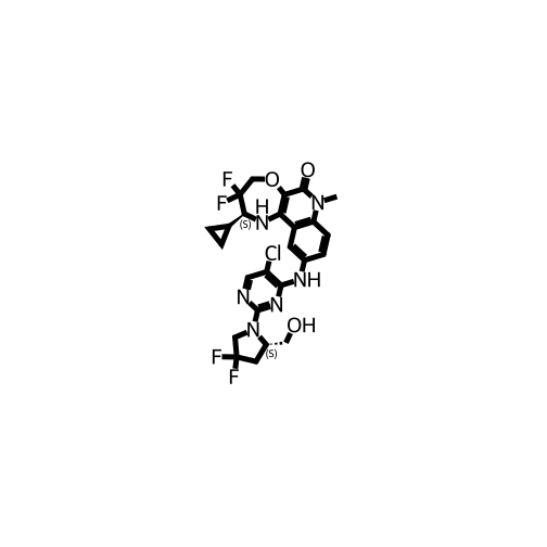 Cn1c(=O)c2c(c3cc(Nc4nc(N5CC(F)(F)C[C@H]5CO)ncc4Cl)ccc31)N[C@@H](C1CC1)C(F)(F)CO2